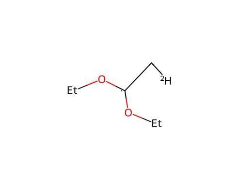 [2H]C[C](OCC)OCC